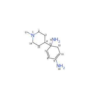 CN1CCC(C2(N)C=CC(N)=CC2)CC1